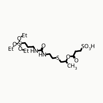 CCO[Si](CCCNC(=O)NCCSCC(C)OC(=O)CCS(=O)(=O)O)(OCC)OCC